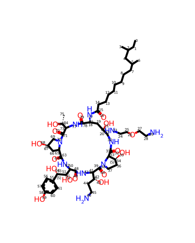 CCC(C)CC(C)CCCCCCCCC(=O)N[C@H]1C[C@@H](O)C(NCCOCCN)NC(=O)C2[C@@H](O)CCN2C(=O)C([C@H](O)CCN)NC(=O)C([C@H](O)[C@@H](O)c2ccc(O)cc2)NC(=O)C2C[C@@H](O)CN2C(=O)C([C@@H](C)O)NC1=O